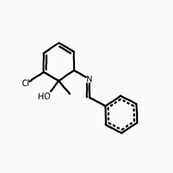 CC1(O)C(Cl)=CC=CC1N=Cc1ccccc1